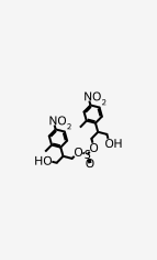 Cc1cc([N+](=O)[O-])ccc1C(CO)COS(=O)OCC(CO)c1ccc([N+](=O)[O-])cc1C